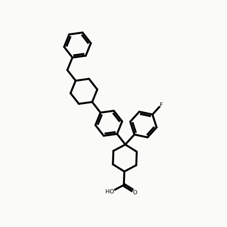 O=C(O)C1CCC(c2ccc(F)cc2)(c2ccc(C3CCC(Cc4ccccc4)CC3)cc2)CC1